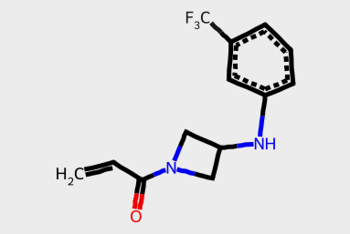 C=CC(=O)N1CC(Nc2cccc(C(F)(F)F)c2)C1